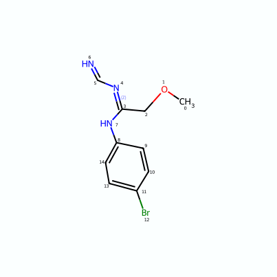 COC/C(=N/C=N)Nc1ccc(Br)cc1